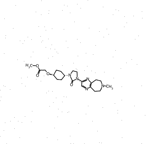 COC(=O)CO[C@H]1CC[C@H](N2CCN(c3cnc4c(n3)CCN(C)CC4)C2=O)CC1